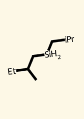 CCC(C)C[SiH2]CC(C)C